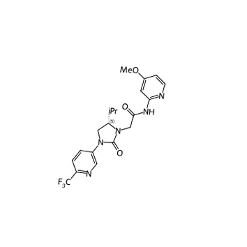 COc1ccnc(NC(=O)CN2C(=O)N(c3ccc(C(F)(F)F)nc3)C[C@@H]2C(C)C)c1